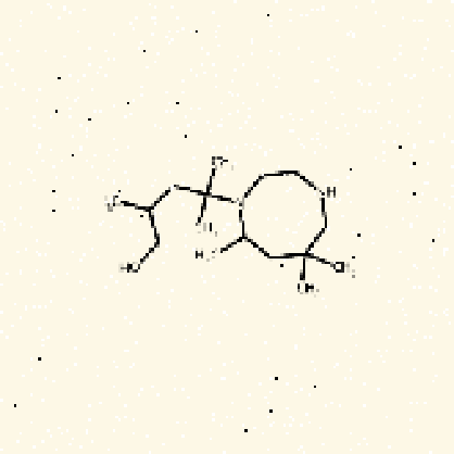 CC(CO)CC(C)(C)N1CCNCC(C)(C)CC1C